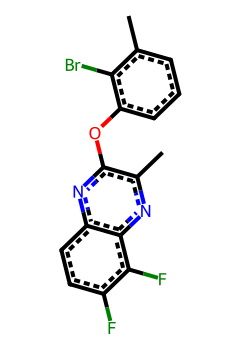 Cc1cccc(Oc2nc3ccc(F)c(F)c3nc2C)c1Br